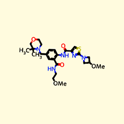 COCCNC(=O)c1cc(CN2CCOCC2(C)C)ccc1NC(=O)c1csc(N2CC(OC)C2)n1